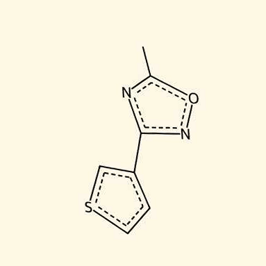 Cc1nc(-c2ccsc2)no1